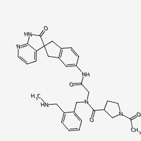 CNCc1ccccc1CN(CC(=O)Nc1ccc2c(c1)CC1(C2)C(=O)Nc2ncccc21)C(=O)C1CCN(C(C)=O)C1